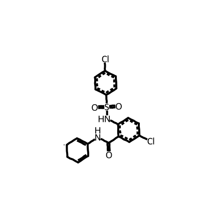 O=C(NC1=C[CH]CC=C1)c1cc(Cl)ccc1NS(=O)(=O)c1ccc(Cl)cc1